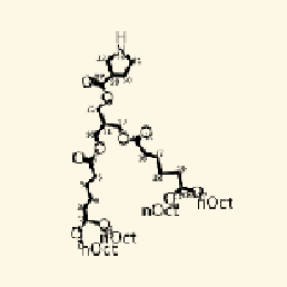 CCCCCCCCOC(CCCCC(=O)OCC(COC(=O)CCCCC(OCCCCCCCC)OCCCCCCCC)COC(=O)C1CCNC1)OCCCCCCCC